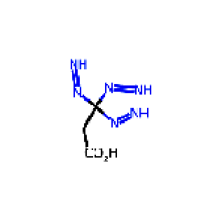 N=NC(CC(=O)O)(N=N)N=N